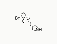 Clc1c(Br)cccc1OCCCC1CCNCC1